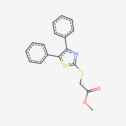 COC(=O)CSc1nc(-c2ccccc2)c(-c2ccccc2)s1